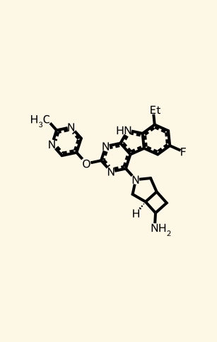 CCc1cc(F)cc2c1[nH]c1nc(Oc3cnc(C)nc3)nc(N3CC4CC(N)[C@H]4C3)c12